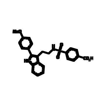 COc1ccc(-c2[nH]c3ccccc3c2CCNS(=O)(=O)c2ccc(C(=O)O)cc2)cc1